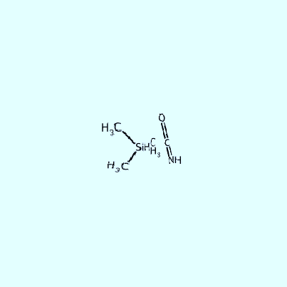 C[SiH](C)C.N=C=O